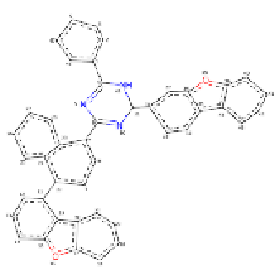 c1ccc(C2=NC(c3ccc(-c4cccc5oc6ccccc6c45)c4ccccc34)=NC(c3ccc4c(c3)oc3ccccc34)N2)cc1